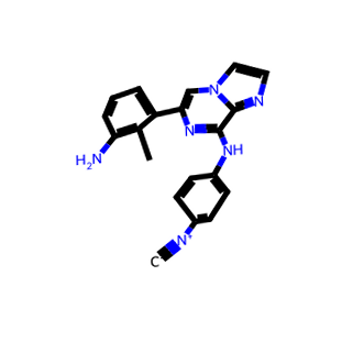 [C-]#[N+]c1ccc(Nc2nc(-c3cccc(N)c3C)cn3ccnc23)cc1